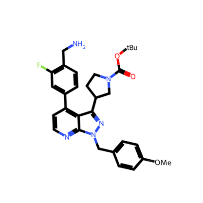 COc1ccc(Cn2nc(C3CCN(C(=O)OC(C)(C)C)C3)c3c(-c4ccc(CN)c(F)c4)ccnc32)cc1